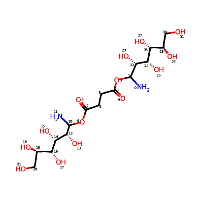 NC(OC(=O)CCC(=O)OC(N)[C@H](O)[C@@H](O)[C@H](O)[C@H](O)CO)[C@H](O)[C@@H](O)[C@H](O)[C@H](O)CO